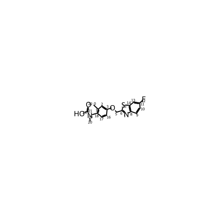 Cc1cc(OCc2nc3ccc(F)cc3s2)ccc1N(C)C(=O)O